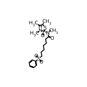 CCC(C)SP(=O)(NC)N(C)C(=O)CCCCCCS(=O)(=O)c1ccccc1